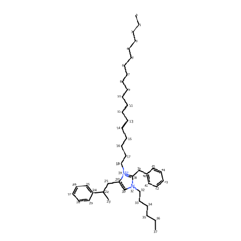 CCCCCCCCCCCCCCCCCCC[n+]1c(CC(C)c2ccccc2)cn(CCCCCC)c1Cc1ccccc1